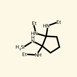 CCNC1(N[SiH3])CCCC1(NCC)NCC